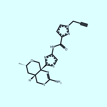 C#CCn1ccc(C(=O)Nc2csc([C@]34CO[C@@H](C)C[C@H]3CSC(N)=N4)n2)n1